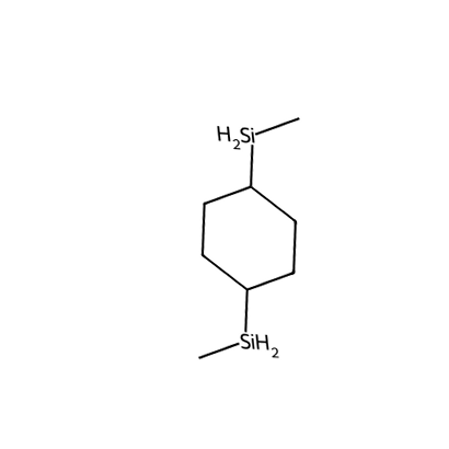 C[SiH2]C1CCC([SiH2]C)CC1